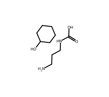 NCCCNC(=O)O.OC1CCCCC1